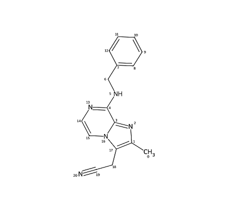 Cc1nc2c(NCc3ccccc3)nccn2c1CC#N